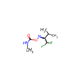 CNC(=O)ON=C(C(C)C)C(F)F